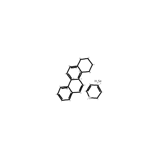 C1=CCOC=C1.[SeH2].c1ccc2c(c1)ccc1c3c(ccc12)CCCC3